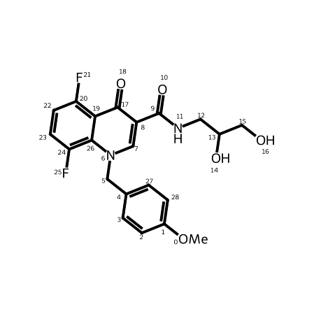 COc1ccc(Cn2cc(C(=O)NCC(O)CO)c(=O)c3c(F)ccc(F)c32)cc1